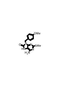 COc1ccc(Cn2c(=O)[nH]c3c(N)nc(SC)nc32)cc1